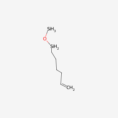 C=CCCCC[SiH2]O[SiH3]